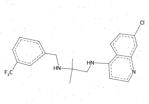 CC(C)(CNc1ccnc2cc(Cl)ccc12)NCc1cccc(C(F)(F)F)c1